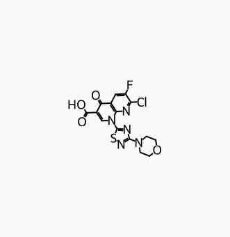 O=C(O)c1cn(-c2nc(N3CCOCC3)ns2)c2nc(Cl)c(F)cc2c1=O